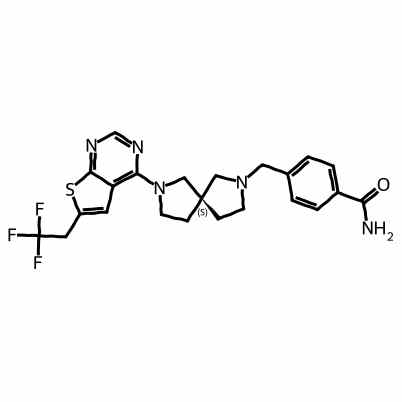 NC(=O)c1ccc(CN2CC[C@]3(CCN(c4ncnc5sc(CC(F)(F)F)cc45)C3)C2)cc1